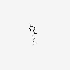 CN(C)CCNC(=O)c1ccc(I)nc1